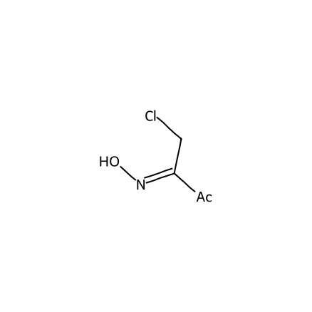 CC(=O)C(CCl)=NO